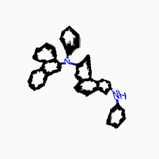 c1ccc(Nc2ccc3c(ccc4cc(N(c5ccccc5)c5cc6ccccc6c6ccccc56)ccc43)c2)cc1